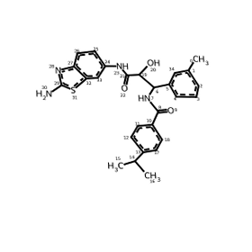 Cc1cccc(C(NC(=O)c2ccc(C(C)C)cc2)C(O)C(=O)Nc2ccc3nc(N)sc3c2)c1